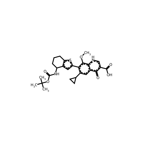 COc1c(-c2cc3c(s2)CCCC3NC(=O)OC(C)(C)C)c(C2CC2)cc2c(=O)c(C(=O)O)c[nH]c12